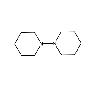 C1CCN(N2CCCCC2)CC1.CC